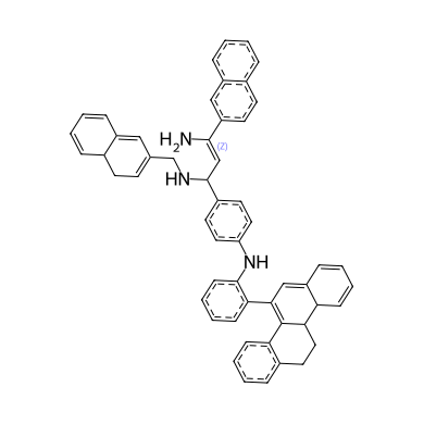 N/C(=C\C(NCC1=CCC2C=CC=CC2=C1)c1ccc(Nc2ccccc2C2=C3c4ccccc4CCC3C3C=CC=CC3=C2)cc1)c1ccc2ccccc2c1